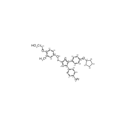 CCCc1ccc(-c2oc(COc3ccc(OCC(=O)O)c(C)c3)nc2-c2ccc(OC3CCCC3)cc2)cc1